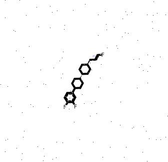 F/C=C/C[C@H]1CC[C@H](C2CCC(c3ccc(F)c(F)c3)CC2)CC1